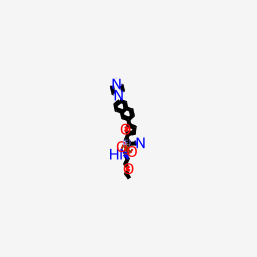 CCOCCNS(=O)(=O)/C(C#N)=C/c1ccc(-c2ccc3cc(N4CCN(C)CC4)ccc3c2)o1